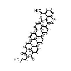 C=Cc1cccc(C(C)C)c1N1C(=O)c2ccc3c4ccc5c6ccc7c8c(ccc(c9ccc(c%10ccc(c2c3%10)C1=O)c4c59)c86)C(=O)N(CC(=O)O)C7=O